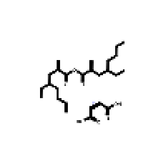 C=C(CC(CC)CCCC)C(=O)OC(=O)C(=C)CC(CC)CCCC.O=C(O)/C=C\C(=O)O